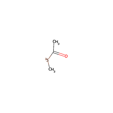 C[3S]C(C)=O